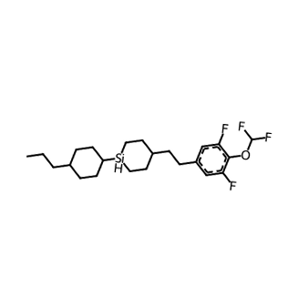 CCCC1CCC([SiH]2CCC(CCc3cc(F)c(OC(F)F)c(F)c3)CC2)CC1